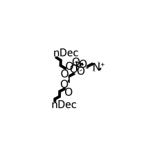 CCCCCCCCCCCCCC(=O)OC[C@H](COP(=O)([O-])OCC[N+](C)(C)C)OC(=O)CCCCCCCCCCCCC